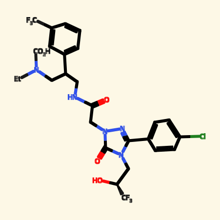 CCN(CC(CNC(=O)Cn1nc(-c2ccc(Cl)cc2)n(C[C@H](O)C(F)(F)F)c1=O)c1cccc(C(F)(F)F)c1)C(=O)O